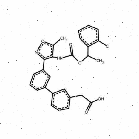 Cc1onc(-c2cccc(-c3cccc(CC(=O)O)c3)c2)c1NC(=O)OC(C)c1ccccc1Cl